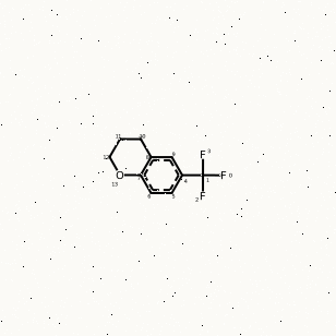 FC(F)(F)c1ccc2c(c1)[C]CCO2